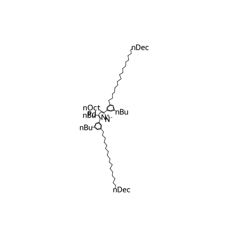 CCCCCCCCCCCCCCCCCCCCCCCCCCCc1cc(CCCC)cc(C2=C(CCCC)C(CCCCCCCC)=C(c3cc(CCCC)cc(CCCCCCCCCCCCCCCCCCCCCCCCCCC)c3)[N+]2=[N-])c1.[Pd]